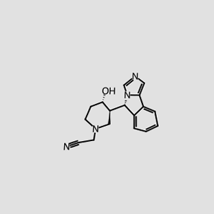 N#CCN1CC[C@H](O)[C@@H]([C@H]2c3ccccc3-c3cncn32)C1